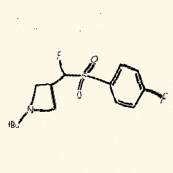 CC(C)(C)N1CC(C(F)S(=O)(=O)c2ccc(F)cc2)C1